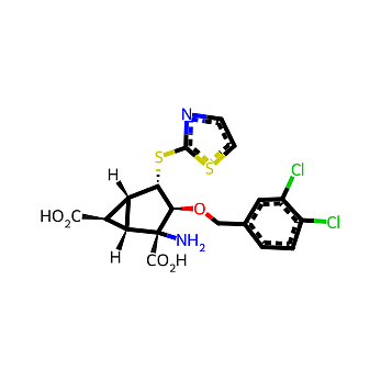 N[C@]1(C(=O)O)[C@@H]2[C@@H](C(=O)O)[C@@H]2[C@H](Sc2nccs2)[C@H]1OCc1ccc(Cl)c(Cl)c1